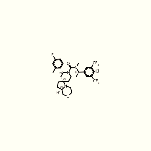 Cc1cc(F)ccc1[C@H]1C[C@]2(CC[C@@H]3COCCN32)CCN1C(=O)N(C)[C@H](C)c1cc(C(F)(F)F)cc(C(F)(F)F)c1.Cl